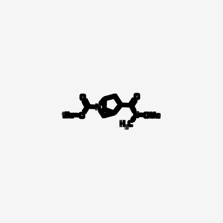 CON(C)C(=O)C1CC2CC1CN2C(=O)OC(C)(C)C